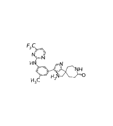 Cc1cc(Nc2nccc(C(F)(F)F)n2)cc(-c2cnc(C3(CN)CCNC(=O)CC3)s2)c1